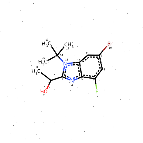 CC(O)c1nc2c(F)cc(Br)cc2n1C(C)(C)C